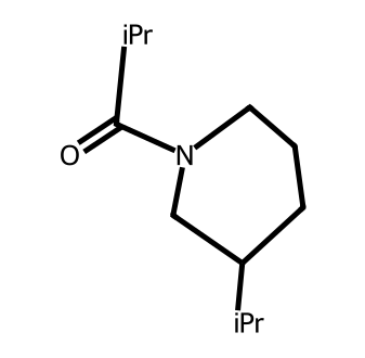 CC(C)C(=O)N1CCCC(C(C)C)C1